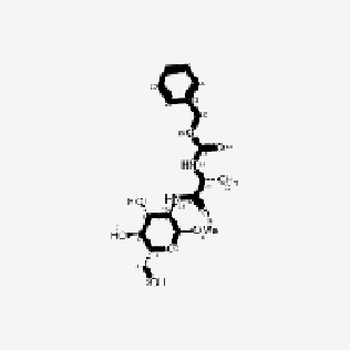 CO[C@H]1O[C@H](CO)[C@@H](O)[C@H](O)[C@H]1NC(=O)[C@@H](C)NC(=O)OCc1ccccc1